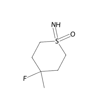 CC1(F)CCS(=N)(=O)CC1